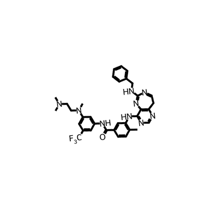 Cc1ccc(C(=O)Nc2cc(N(C)CCN(C)C)cc(C(F)(F)F)c2)cc1Nc1ncnc2c1N=C(NCc1ccccc1)N=CC2